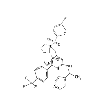 CC(Nc1cc(C[N+]2(S(=O)(=O)c3ccc(F)cc3)CCC[C@H]2C(N)=O)cc(-c2ccc(C(F)(F)F)cc2)n1)c1ccncc1